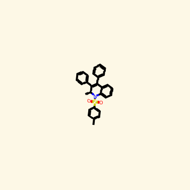 Cc1ccc(S(=O)(=O)N2c3ccccc3C(c3ccccc3)=C(c3ccccc3)C2C)cc1